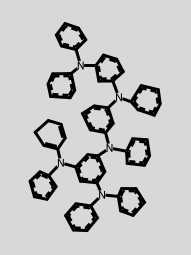 C1=CC(N(c2ccccc2)c2cc(N(c3ccccc3)c3ccccc3)cc(N(c3ccccc3)c3cccc(N(c4ccccc4)c4cccc(N(c5ccccc5)c5ccccc5)c4)c3)c2)=CCC1